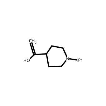 C=C(O)C1CCN(C(C)C)CC1